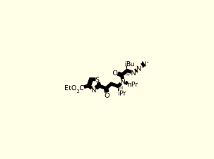 CCCN(C(=O)[C@@H](N=[N+]=[N-])C(C)CC)[C@@H](CC(=O)c1nc(C(=O)OCC)cs1)C(C)C